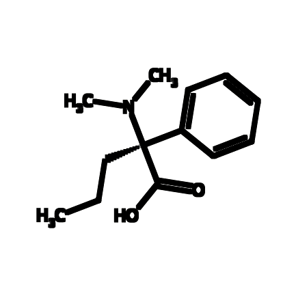 CCC[C@@](C(=O)O)(c1ccccc1)N(C)C